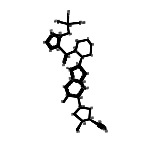 Cc1cn2nc([C@@H]3CCCCN3C(=O)c3ccnn3CC(F)(F)F)cc2nc1N1C[C@@H](C#N)[C@@H](C)C1